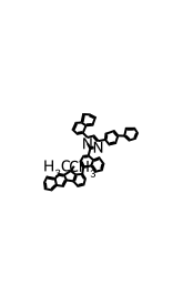 CC1(C)c2cc3ccccc3cc2-c2cccc(-c3ccc(-c4nc(-c5ccc(-c6ccccc6)cc5)cc(-c5cccc6ccccc56)n4)c4ccccc34)c21